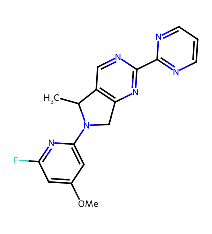 COc1cc(F)nc(N2Cc3nc(-c4ncccn4)ncc3C2C)c1